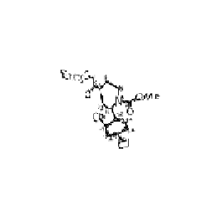 CCOC(=O)CC(=O)C1CCN(C(=O)OC)C(c2ccc(Cl)cc2Cl)C1